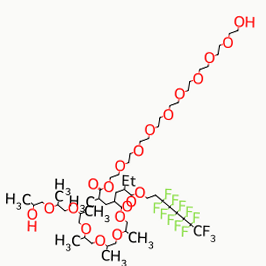 CCC(CC(CC(C)C(=O)OCCOCCOCCOCCOCCOCCOCCOCCOCCO)C(=O)OCC(C)OCC(C)OCC(C)OCC(C)OCC(C)OCC(C)O)C(=O)OCCC(F)(F)C(F)(F)C(F)(F)C(F)(F)C(F)(F)C(F)(F)F